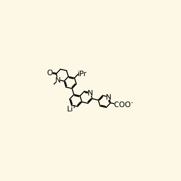 CC(C)c1cc(-c2cccc3cc(-c4ccc(C(=O)[O-])nc4)ncc23)cc2c1CCC(=O)N2C.[Li+]